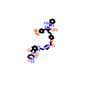 CS(=O)(=O)c1ccc(-c2nn(-c3nc4ccccc4[nH]3)c(O)c2CCc2ccc(OCC(=O)N3CCN(CCNc4cccc5c4C(=O)N(C4CCC(=O)NC4=O)C5=O)CC3)cc2)cc1